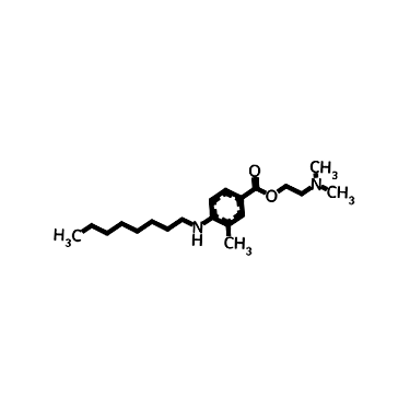 CCCCCCCCNc1ccc(C(=O)OCCN(C)C)cc1C